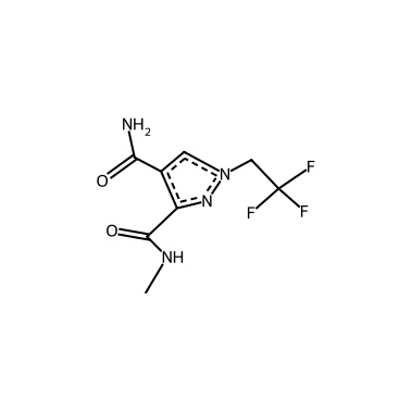 CNC(=O)c1nn(CC(F)(F)F)cc1C(N)=O